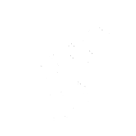 CCc1cc2c(s1)-n1nc(C(N)=O)nc1C[N+]([O-])=C2c1ccccc1Cl